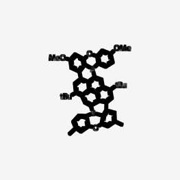 COc1ccc2c(c1)Oc1cc(OC)cc3c1B2c1cc2c(C(C)(C)C)cc4c5c(cc6c(C(C)(C)C)cc-3c1c6c25)B1c2ccc(C)cc2Oc2cc(C)cc-4c21